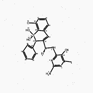 CC[C@H](Nc1nc(N)nc(C)c1C#N)C1=Cc2cccc(Cl)c2S(O)(O)N1c1ccccc1